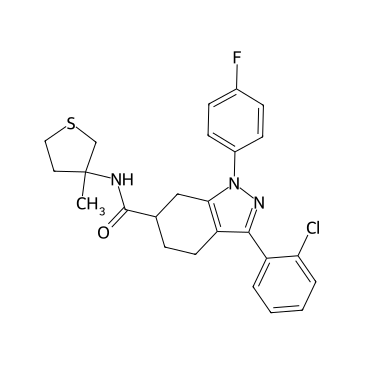 CC1(NC(=O)C2CCc3c(-c4ccccc4Cl)nn(-c4ccc(F)cc4)c3C2)CCSC1